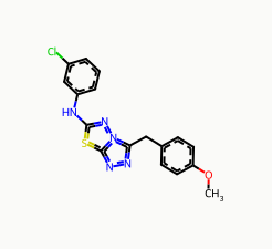 COc1ccc(Cc2nnc3sc(Nc4cccc(Cl)c4)nn23)cc1